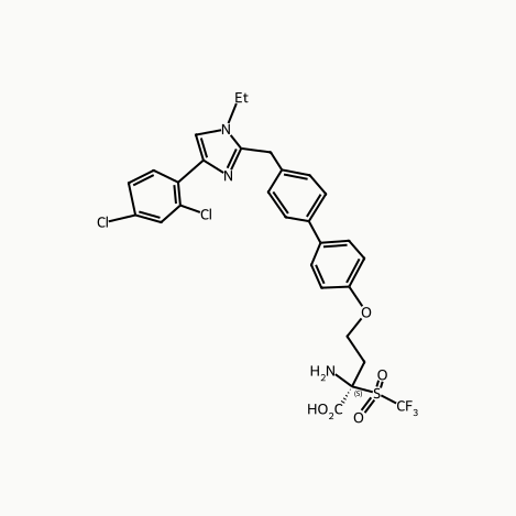 CCn1cc(-c2ccc(Cl)cc2Cl)nc1Cc1ccc(-c2ccc(OCC[C@@](N)(C(=O)O)S(=O)(=O)C(F)(F)F)cc2)cc1